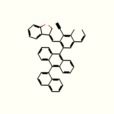 C#Cc1c(C)c(/C=C\C)cc(-c2c3ccccc3c(-c3cccc4ccccc34)c3ccccc23)c1/C=C1\COc2ccccc21